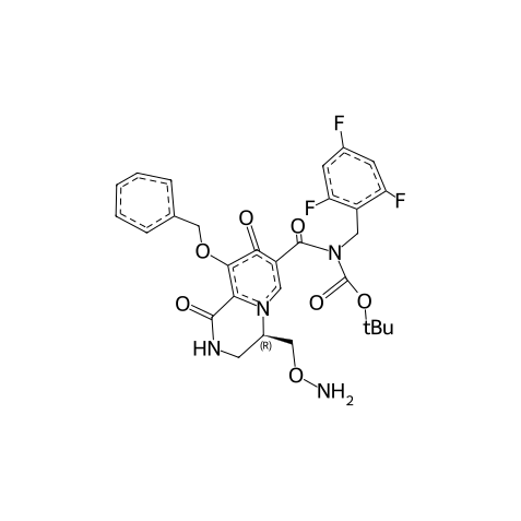 CC(C)(C)OC(=O)N(Cc1c(F)cc(F)cc1F)C(=O)c1cn2c(c(OCc3ccccc3)c1=O)C(=O)NC[C@@H]2CON